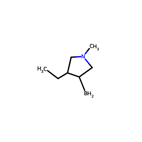 BC1CN(C)CC1CC